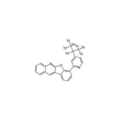 [2H]C([2H])([2H])C([2H])(c1ccnc(-c2cccc3c2oc2nc4ccccc4cc23)c1)C([2H])([2H])[2H]